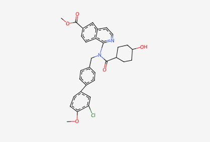 COC(=O)c1ccc2c(N(Cc3ccc(-c4ccc(OC)c(Cl)c4)cc3)C(=O)C3CCC(O)CC3)nccc2c1